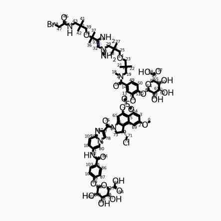 COc1ccc2c(OS(=O)(=O)Oc3cc(C(=O)N(C)CC(C)(C)COCC(C)(C)CN(N)/C=C(\N)C(C)(C)OCC(C)(C)CNC(=O)CBr)ccc3O[C@@H]3O[C@H](C(=O)O)[C@@H](O)[C@H](O)[C@H]3O)cc3c(c2c1)[C@H](CCl)CN3C(=O)c1cn2cc(NC(=O)c3ccc(O[C@@H]4O[C@H](C(=O)O)[C@@H](O)[C@H](O)[C@H]4O)cc3)ccc2n1